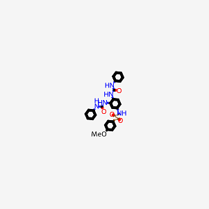 COc1ccc(S(=O)(=O)Nc2ccc(NC(=O)Nc3ccccc3)c(NC(=O)Nc3ccccc3)c2)cc1